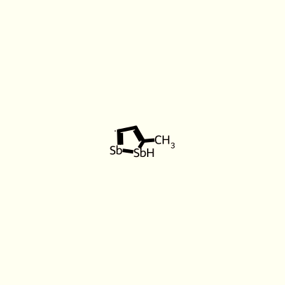 C[C]1=C[C]=[Sb][SbH]1